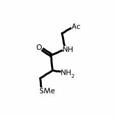 CSCC(N)C(=O)NCC(C)=O